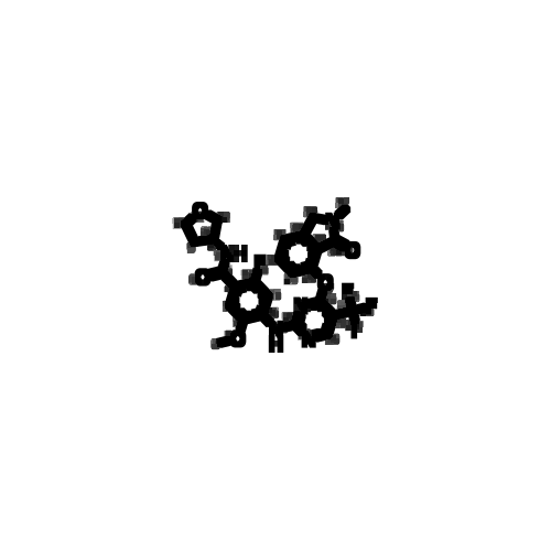 COc1cc(C(=O)N[C@H]2CCOC2)c(F)cc1Nc1ncc(C(F)(F)F)c(Oc2cccc3c2C(=O)N(C)C3)n1